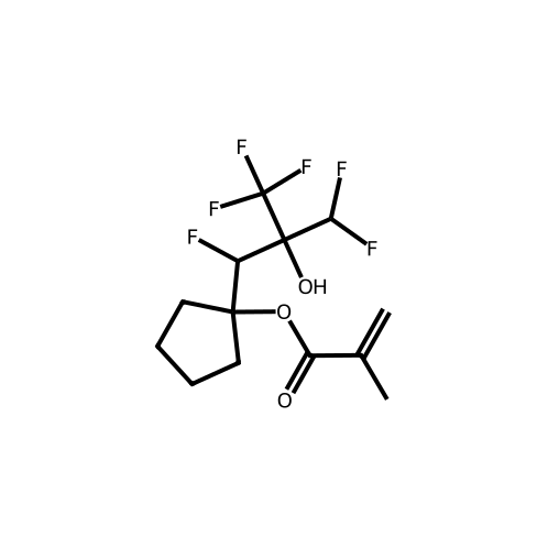 C=C(C)C(=O)OC1(C(F)C(O)(C(F)F)C(F)(F)F)CCCC1